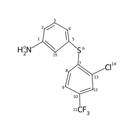 Nc1cccc(Sc2ccc(C(F)(F)F)cc2Cl)c1